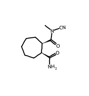 CN(C#N)C(=O)[C@@H]1CCCCC[C@@H]1C(N)=O